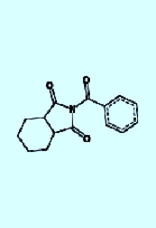 O=C(c1ccccc1)N1C(=O)C2CCCCC2C1=O